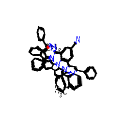 Cc1ccccc1-c1ccc2c3ccc(-c4ccccc4C)cc3n(-c3c(-c4cc(-c5ccccc5)nc(-c5ccccc5)n4)cc(C#N)cc3-c3nc(-c4ccccc4)cc(-c4ccccc4)n3)c2c1